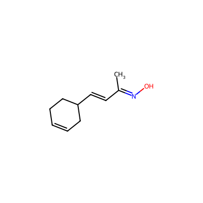 CC(/C=C/C1CC=CCC1)=N\O